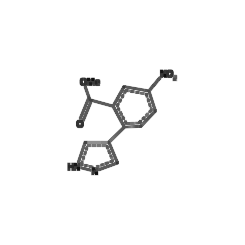 COC(=O)c1cc([N+](=O)[O-])ccc1-c1cn[nH]c1